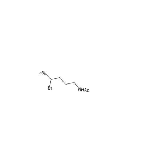 CCCCC(CC)CCCNC(C)=O